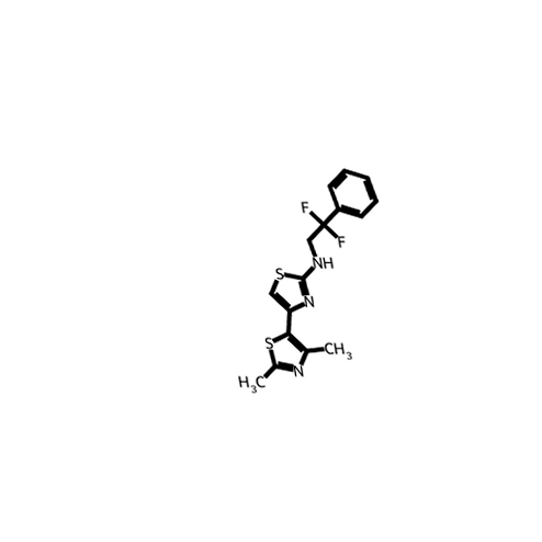 Cc1nc(C)c(-c2csc(NCC(F)(F)c3ccccc3)n2)s1